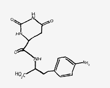 Nc1ccc(CC(NC(=O)C2CC(=O)NC(=O)N2)C(=O)O)cc1